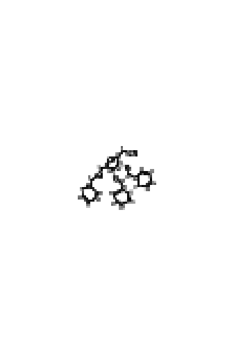 N#CCC1O[C@H](COCc2ccccc2)[C@@H](OCc2ccccc2)[C@H]1OCc1ccccc1